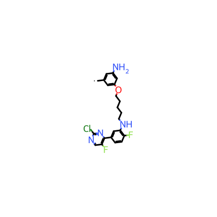 [CH2]c1cc(N)cc(OCCCCCNc2cc(-c3nc(Cl)ncc3F)ccc2F)c1